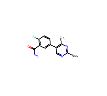 CNc1ncc(-c2ccc(F)c(C(N)=O)c2)c(C)n1